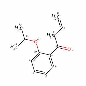 C=C[SiH2]C(=O)c1ccccc1OC(C)C